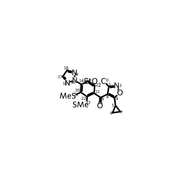 CCOC(=O)c1noc(C2CC2)c1C(=O)c1ccc(-n2nccn2)c(SC)c1SC